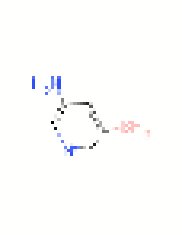 Bc1cncc(N)c1